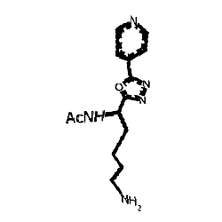 CC(=O)NC(CCCCN)c1nnc(-c2ccncc2)o1